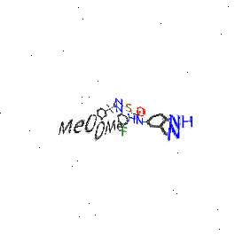 COc1ccc(C(C)(C)c2cnc(SCC(=O)Nc3ccc4[nH]ncc4c3)n2-c2ccc(F)cc2)cc1OC